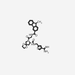 CC1c2ccccc2-c2cc(C(=O)NCC(=O)N3CC4(C[C@H]3C(=O)NCc3cc(C(=N)N)cs3)OCCO4)ccc21